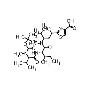 CCC(C)[C@H](NC(=O)[C@@H](C(C)C)N(C)C(=O)OC(C)(C)C)C(=O)N(C)[C@H](C[C@@H](O)c1nc(C(=O)O)cs1)C(C)C